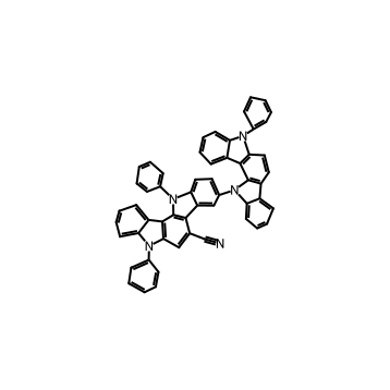 N#Cc1cc2c(c3ccccc3n2-c2ccccc2)c2c1c1cc(-n3c4ccccc4c4ccc5c(c6ccccc6n5-c5ccccc5)c43)ccc1n2-c1ccccc1